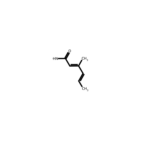 CC=CC(C)=CC([NH])=O